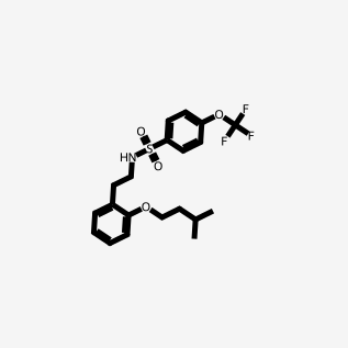 CC(C)CCOc1ccccc1CCNS(=O)(=O)c1ccc(OC(F)(F)F)cc1